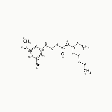 CCCCCC(CC)OC(=O)CCSc1cc(Br)cc(OC)c1